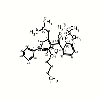 CCCCOc1noc(CN(C)C)c1C(=O)[C@]1(OCOCc2ccccc2)C=CC=C[C@H]1O[Si](C)(C)C